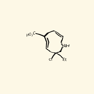 CCC1(Cl)C=C(C(=O)O)C=CN1